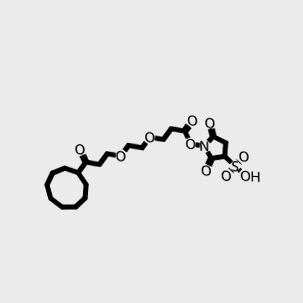 O=C(CCOCCOCCC(=O)C1CCCCCCCC1)ON1C(=O)CC(S(=O)(=O)O)C1=O